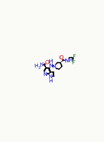 NC(=O)c1cnc2[nH]ccc2c1NN1CCC[C@H](C(=O)NCC(F)F)C1